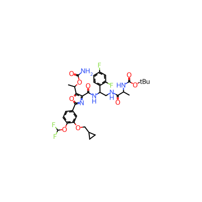 CC(NC(=O)OC(C)(C)C)C(=O)NCC(NC(=O)c1nc(-c2ccc(OC(F)F)c(OCC3CC3)c2)oc1C(C)OC(N)=O)c1ccc(F)cc1F